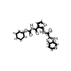 O=C(NC(=O)c1ccsc1NC(=O)C1Nc2cnccc2S1)OC1CCCCC1